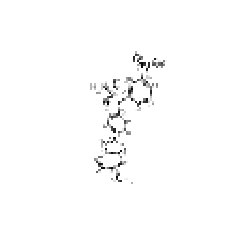 Cc1ccc2nc(-c3ccc(C(c4cccc([N+](=O)[O-])c4)S(N)(=O)=O)cc3)sc2c1